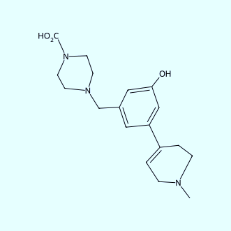 CN1CC=C(c2cc(O)cc(CN3CCN(C(=O)O)CC3)c2)CC1